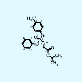 Cc1ccc(OP(=O)(NCC(=O)OC(C)C)Oc2ccccc2)cc1